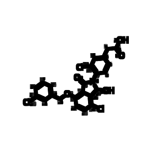 O=C(O)Cc1ccc(N2C(=O)c3c(OCc4cccc(Cl)c4)ccc(Cl)c3C2O)c(Cl)c1